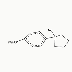 COc1ccc(C2(C(C)=O)CCCC2)cc1